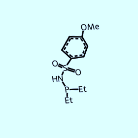 CCP(CC)NS(=O)(=O)c1ccc(OC)cc1